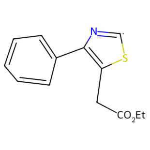 CCOC(=O)Cc1s[c]nc1-c1ccccc1